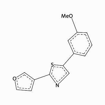 COc1cccc(-c2cnc(-c3ccoc3)s2)c1